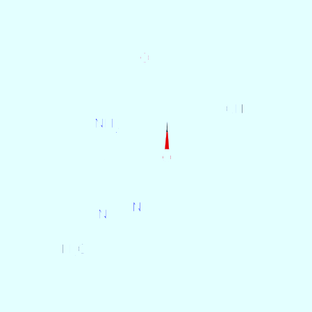 C[C@H]1COC[C@@H]1Oc1nn(C)cc1N